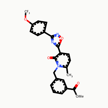 COC(=O)c1cccc(Cn2c(C)ccc(-c3nc(-c4ccc(OC(F)(F)F)cc4)no3)c2=O)c1